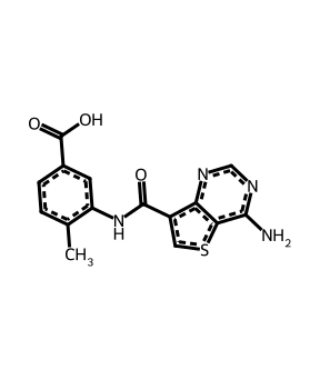 Cc1ccc(C(=O)O)cc1NC(=O)c1csc2c(N)ncnc12